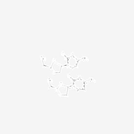 Nc1ccn([C@H]2CS[C@@H](CO)O2)c(=O)n1.Nc1ccn([C@H]2CS[C@@H](CO)O2)c(=O)n1